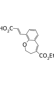 CCOC(=O)C1=Cc2cccc(C=CC(=O)O)c2OCC1